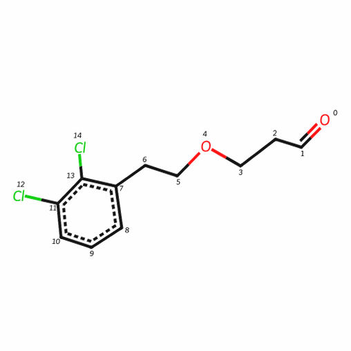 O=CCCOCCc1cccc(Cl)c1Cl